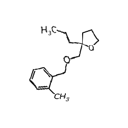 CCCC1(COCc2ccccc2C)CCCO1